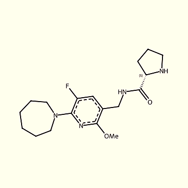 COc1nc(N2CCCCCC2)c(F)cc1CNC(=O)[C@@H]1CCCN1